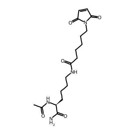 CC(=O)N[C@@H](CCCCNC(=O)CCCCCN1C(=O)C=CC1=O)C(N)=O